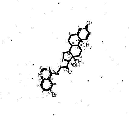 CC12C=CC(=O)C=C1CCC1C2CCC2(C)C1CC[C@]2(O)C(=O)CSc1ncnc2ccc(Br)cc12